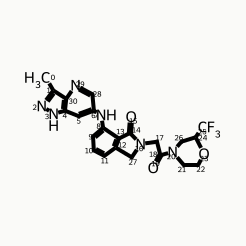 Cc1n[nH]c2cc(Nc3cccc4c3C(=O)N(CC(=O)N3CCOC(C(F)(F)F)C3)C4)cnc12